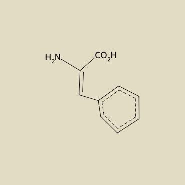 N/C(=C/c1ccccc1)C(=O)O